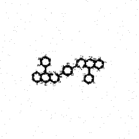 c1ccc(-c2c3ccccc3cc3ccc(-c4ccc(-c5ccc6cc7ccccc7c(-c7ccccc7)c6n5)cc4)nc23)cc1